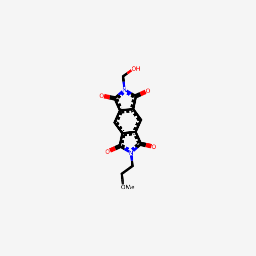 COCCn1c(=O)c2cc3c(=O)n(CO)c(=O)c3cc2c1=O